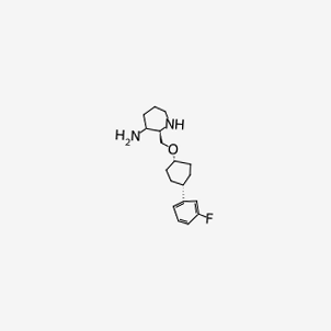 NC1CCCN[C@H]1CO[C@H]1CC[C@@H](c2cccc(F)c2)CC1